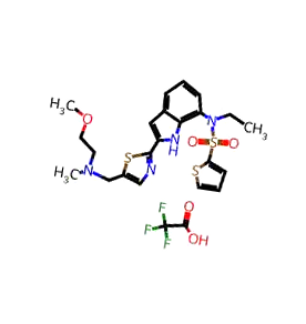 CCN(c1cccc2cc(-c3ncc(CN(C)CCOC)s3)[nH]c12)S(=O)(=O)c1cccs1.O=C(O)C(F)(F)F